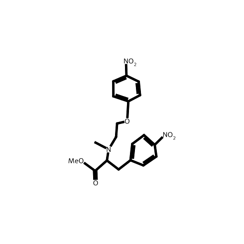 COC(=O)C(Cc1ccc([N+](=O)[O-])cc1)N(C)CCOc1ccc([N+](=O)[O-])cc1